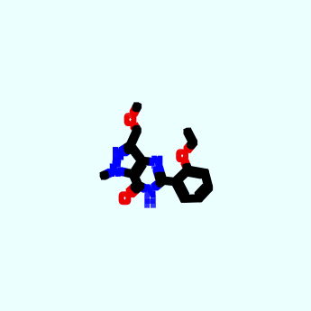 CCOc1ccccc1-c1nc2c(COC)nn(C)c2c(=O)[nH]1